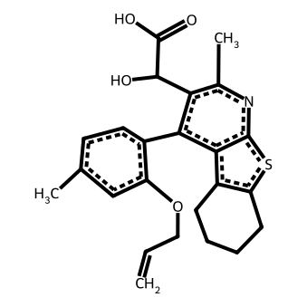 C=CCOc1cc(C)ccc1-c1c(C(O)C(=O)O)c(C)nc2sc3c(c12)CCCC3